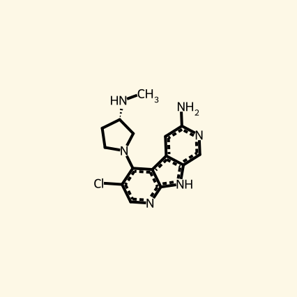 CN[C@H]1CCN(c2c(Cl)cnc3[nH]c4cnc(N)cc4c23)C1